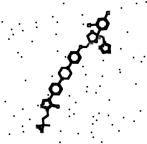 CC1(CCn2ncn(-c3ccc(N4CCN(c5ccc(OC[C@@H]6CO[C@@](Cn7cncn7)(c7ccc(Cl)cc7Cl)O6)cc5)CC4)cc3)c2=O)N=N1